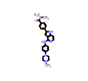 CN1CCN(c2ccc(Nc3nccc4[nH]c(-c5ccc(C(=O)N(C)C)cc5)cc34)cc2)CC1